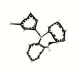 Clc1cccc(N2c3ccccc3Oc3ccccc32)c1